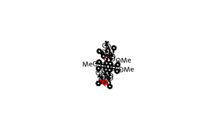 C=C(C)C(=O)Oc1ccnc(N(Cc2ccccc2)C(=O)C(Cc2cccc3c2oc2ccccc23)N2C(=O)c3cc(Oc4cccc(OC)c4)c4c5c(Oc6cccc(OC)c6)cc6c7c(cc(Oc8cccc(OC)c8)c(c8c(Oc9cccc(OC)c9)cc(c3c48)C2=O)c75)C(=O)N(C(Cc2cccc3c2oc2ccccc23)C(=O)N(Cc2ccccc2)c2cc(OC(=O)C(=C)C)ccn2)C6=O)c1